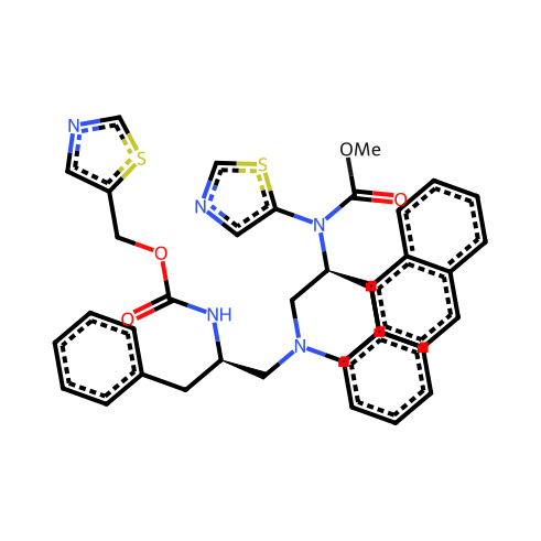 COC(=O)N(c1cncs1)[C@@H](Cc1ccccc1)CN(Cc1ccc2ccccc2c1)C[C@@H](Cc1ccccc1)NC(=O)OCc1cncs1